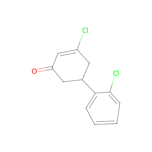 O=C1C=C(Cl)CC(c2ccccc2Cl)C1